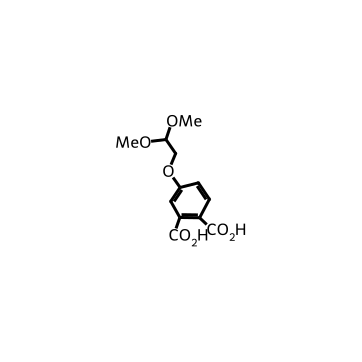 COC(COc1ccc(C(=O)O)c(C(=O)O)c1)OC